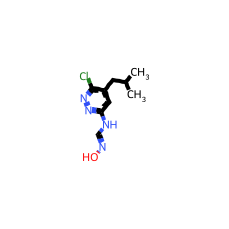 CC(C)Cc1cc(NC=NO)nnc1Cl